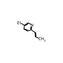 C/C=C/c1ccc(CC)cn1